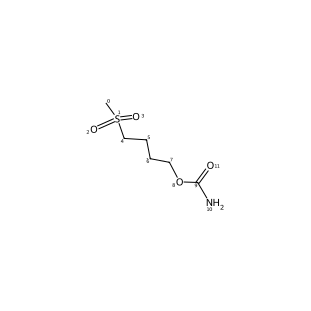 CS(=O)(=O)CC[CH]COC(N)=O